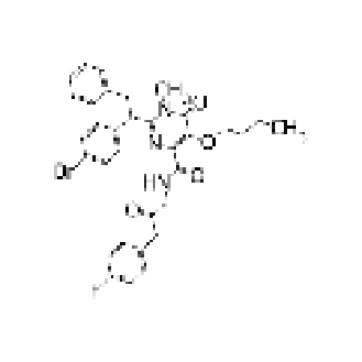 CCCCOc1c(C(=O)NCC(=O)Cc2ccc(F)cc2)nc(C(Cc2ccccc2)c2ccc(Br)cc2)n(C)c1=O